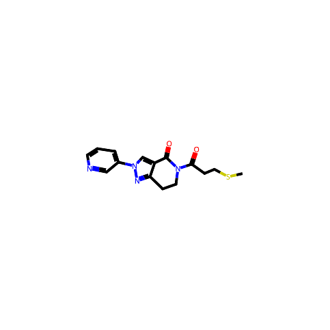 CSCCC(=O)N1CCc2nn(-c3cccnc3)cc2C1=O